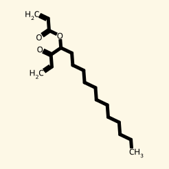 C=CC(=O)OC(CCCCCCCCCCCC)C(=O)C=C